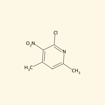 Cc1cc(C)c([N+](=O)[O-])c(Cl)n1